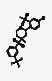 CC1(S(=O)(=O)c2cccc(C(F)(F)F)c2)CCOC(c2ccc(Cl)cc2S(C)(=O)=O)C1